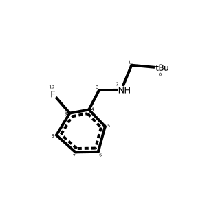 CC(C)(C)CNCc1ccccc1F